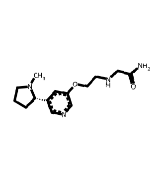 CN1CCC[C@H]1c1cncc(OCCNCC(N)=O)c1